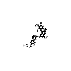 N#Cc1cnc2c(Br)cc(NCc3cn(-c4ccc(C(=O)O)cc4)nn3)cc2c1Nc1ccc(F)c(Cl)c1